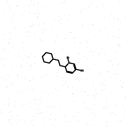 CCN1C=C(S)C=CC1CCC1CCCCC1